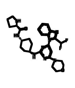 O=C(N[C@H]1CC[C@H](Nc2nc(N3CCOCC3)cc(-n3c(C(F)F)nc4ccccc43)n2)CC1)[C@H]1CCCN1